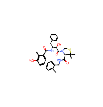 Cc1ccccc1CNC(=O)[C@H]1N(C(=O)C(O)C(Cc2ccccc2)NC(=O)c2cccc(O)c2C)CSC1(C)C